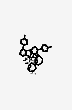 Cc1ccc(-c2cccc3c2C=C(CC2CCCCCC2)[CH]3[Zr]([Cl])([Cl])([CH]2C(CC3CCCCCC3)=Cc3c(-c4ccc(C)cc4)cccc32)[SiH](C)CCC(F)(F)F)cc1